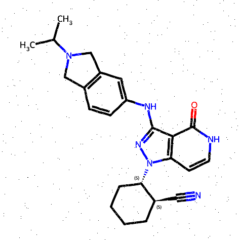 CC(C)N1Cc2ccc(Nc3nn([C@H]4CCCC[C@@H]4C#N)c4cc[nH]c(=O)c34)cc2C1